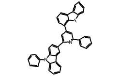 c1ccc(-c2cc(-c3cccc4c3sc3ccccc34)cc(-c3ccc4c(c3)c3ccccc3n4-c3ccccc3)n2)cc1